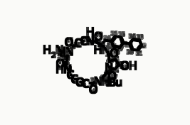 CC(C)(C)[C@@H]1NC(=O)COCCNC(=O)[C@@H](CN)NC(=O)CCNC(=O)[C@@H](Cc2ccc(-c3ccccc3)cc2)NC(=O)C2C[C@@H](O)CN2C1=O